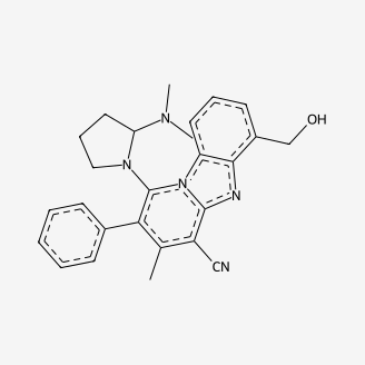 Cc1c(-c2ccccc2)c(N2CCCC2N(C)C)n2c(nc3c(CO)cccc32)c1C#N